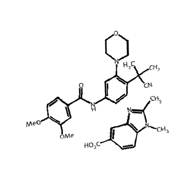 COc1ccc(C(=O)Nc2ccc(C(C)(C)C#N)c(N3CCOCC3)c2)cc1OC.Cc1nc2cc(C(=O)O)ccc2n1C